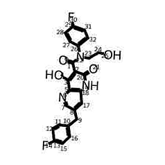 O=C(c1c(O)c2ncc(Cc3ccc(F)cc3)cc2[nH]c1=O)N(CCO)c1ccc(F)cc1